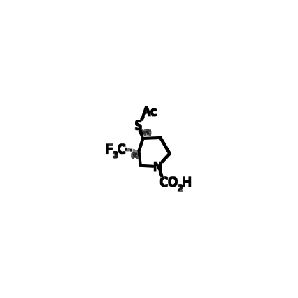 CC(=O)S[C@H]1CCN(C(=O)O)C[C@@H]1C(F)(F)F